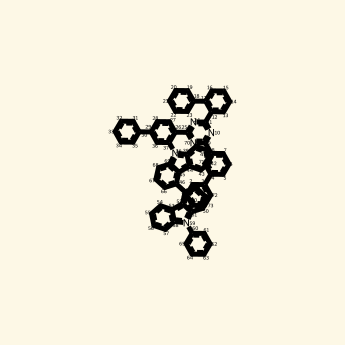 c1ccc(-c2cccc(-c3nc(-c4ccccc4-c4ccccc4)nc(-c4ccc(-c5ccccc5)cc4-n4c5ccccc5c5c(-c6cccc7c6c6ccccc6n7-c6ccccc6)cccc54)n3)c2)cc1